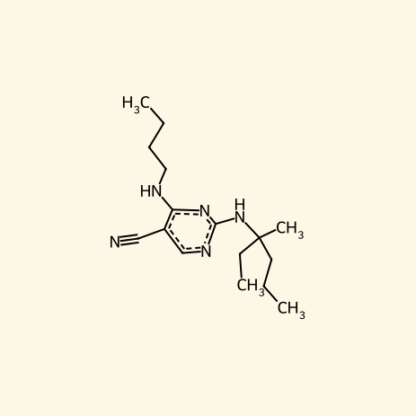 CCCCNc1nc(NC(C)(CC)CCC)ncc1C#N